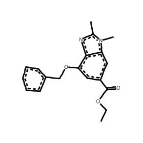 CCOC(=O)c1cc(OCc2ccccc2)c2nc(C)n(C)c2c1